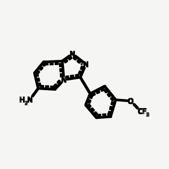 Nc1ccc2nnc(-c3cccc(OC(F)(F)F)c3)n2c1